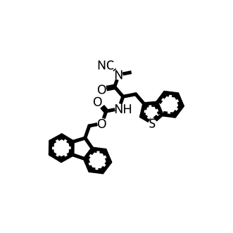 CN(C#N)C(=O)C(Cc1csc2ccccc12)NC(=O)OCC1c2ccccc2-c2ccccc21